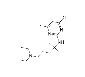 CCN(CC)CCCC(C)(C)Nc1nc(C)cc(Cl)n1